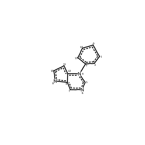 c1ccc(-n2cncc3nccc2-3)cc1